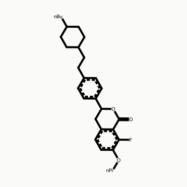 CCCCC1CCC(CCc2ccc(C3Cc4ccc(OCCC)c(F)c4C(=O)O3)cc2)CC1